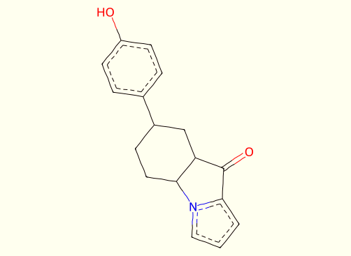 O=C1c2cccn2C2CCC(c3ccc(O)cc3)CC12